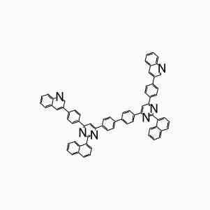 c1ccc2ncc(-c3ccc(-c4cc(-c5ccc(-c6ccc(-c7cc(-c8ccc(-c9cnc%10ccccc%10c9)cc8)nc(-c8cccc9ccccc89)n7)cc6)cc5)nc(-c5cccc6ccccc56)n4)cc3)cc2c1